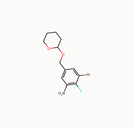 O=[N+]([O-])c1cc(COC2CCCCO2)cc(Br)c1F